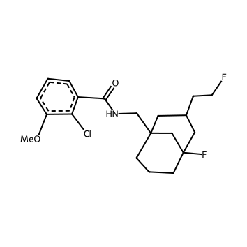 COc1cccc(C(=O)NCC23CCCC(F)(CC(CCF)C2)C3)c1Cl